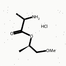 COC[C@@H](C)OC(=O)C(C)N.Cl